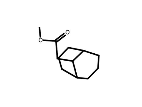 COC(=O)CC1C2CCCC1CCC2